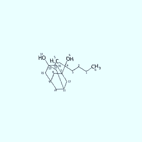 CCCCC(C)(O)C12CC3CC(CC(O)(C3)C1)C2